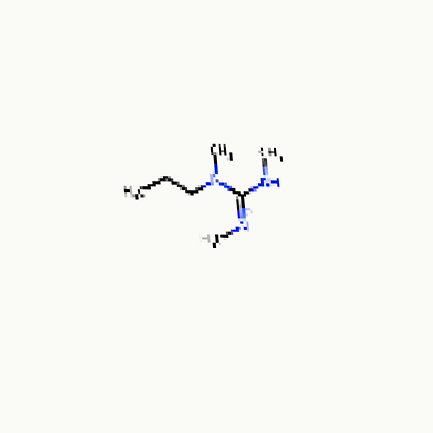 CCCN(C)/C(=N\C)NC